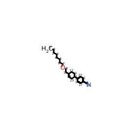 C=CCCCCCCOCCC1CCC(c2ccc(C#N)cc2)CC1